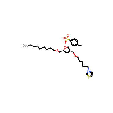 CCCCCCCCCCCCCCCCCCOC[C@@H]1C[C@@H](COCCCCC[n+]2ccsc2)CO1.Cc1ccc(S(=O)(=O)[O-])cc1